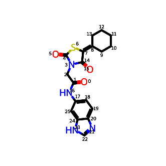 O=C(CN1C(=O)SC(=C2CCCCC2)C1=O)Nc1ccc2nc[nH]c2c1